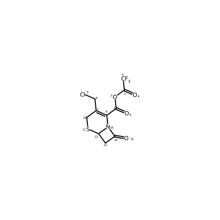 O=C(OC(=O)C(F)(F)F)C1=C(CCl)CSC2CC(=O)N12